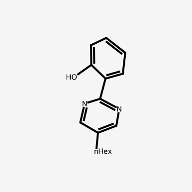 CCCCCCc1cnc(-c2ccccc2O)nc1